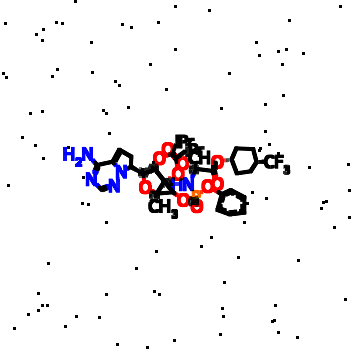 CC(C)C(=O)O[C@H]1[C@H](C2CC=C3C(N)=NC=NN32)O[C@]2(C)C(O[P@@](=O)(N[C@@H](C)C(=O)O[C@H]3CC[C@H](C(F)(F)F)CC3)Oc3ccccc3)[C@]12OC(=O)C(C)C